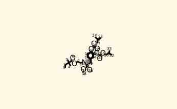 CCC(C)(C)C(=O)OCCN[C@@H](Cc1ccc(OC(=O)OCC(C)C)c(OC(=O)OCC(C)C)c1)C(=O)OC